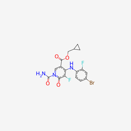 NC(=O)n1cc(C(=O)OCC2CC2)c(Nc2ccc(Br)cc2F)c(F)c1=O